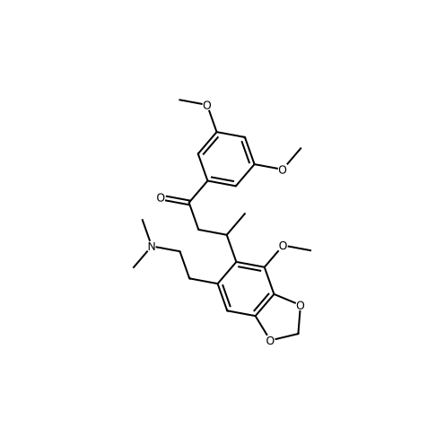 COc1cc(OC)cc(C(=O)CC(C)c2c(CCN(C)C)cc3c(c2OC)OCO3)c1